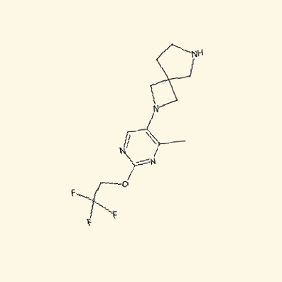 Cc1nc(OCC(F)(F)F)ncc1N1CC2(CCNC2)C1